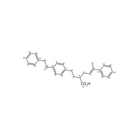 C/C(=C\CC(CCc1ccc(OCc2ccccc2)cc1)C(=O)O)c1ccccc1